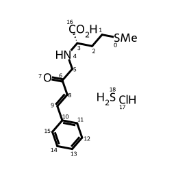 CSCC[C@H](NCC(=O)C=Cc1ccccc1)C(=O)O.Cl.S